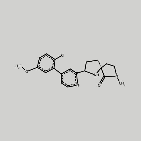 COc1ccc(Cl)c(-c2ccnc([C@H]3CC[C@@]4(CCN(C)C4=O)N3)c2)c1